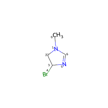 CN1[C]C(Br)N=C1